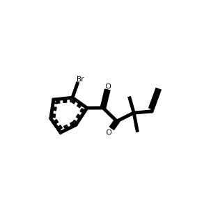 C=CC(C)(C)C(=O)C(=O)c1ccccc1Br